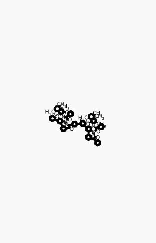 Cc1cc2c(cc1N1c3c(oc4ccccc34)B3c4c(cc5c(oc6ccc(-c7ccc8c(c7)oc7c9cccc%10c9n(c87)B7c8oc9ccccc9c8N(c8cc9c(cc8C)C(C)(C)CCC9(C)C)c8c7c-%10cc7c8oc8ccccc87)cc65)c41)-c1cccc4c5c6ccccc6oc5n3c14)C(C)(C)CCC2(C)C